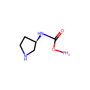 O=C(N[C@@H]1CCNC1)OP